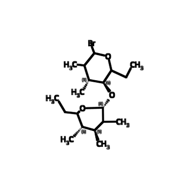 CCC1O[C@H](O[C@@H]2C(CC)OC(Br)C(C)[C@H]2C)C(C)[C@@H](C)[C@@H]1C